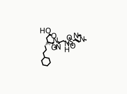 Cn1cnc(S(=O)(=O)NCc2noc([C@H](CCCC3CCCCC3)CC(=O)O)n2)c1